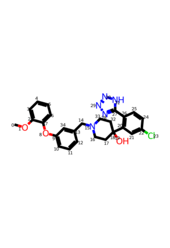 COc1ccccc1Oc1cccc(CN2CCC(O)(c3cc(Cl)ccc3-c3nnn[nH]3)CC2)c1